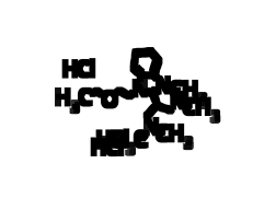 CCOCCn1c(C(CN(C)C)CN(C)C)nc2ccccc21.Cl.Cl.Cl